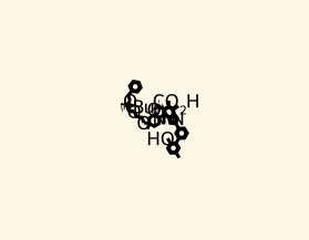 Cc1ccc(O)c(-c2cccc(-c3cn4c(N5CCC(C)(OCCOC[C@@H](C)OCc6ccccc6)CC5)c([C@H](OC(C)(C)C)C(=O)O)c(C)c(C)c4n3)c2)c1